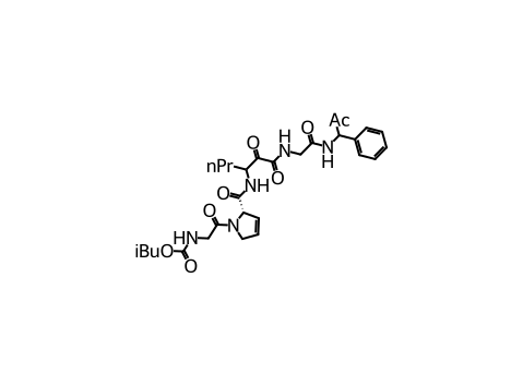 CCCC(NC(=O)[C@@H]1C=CCN1C(=O)CNC(=O)OCC(C)C)C(=O)C(=O)NCC(=O)NC(C(C)=O)c1ccccc1